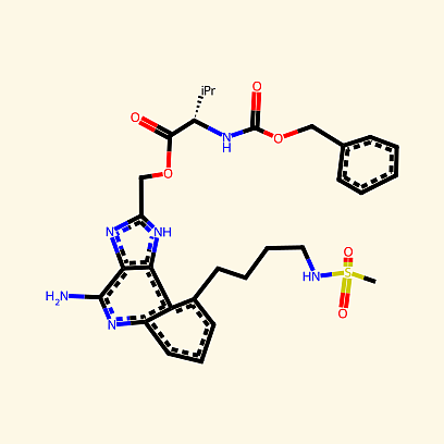 CC(C)[C@H](NC(=O)OCc1ccccc1)C(=O)OCc1nc2c(N)nc3cccc(CCCCNS(C)(=O)=O)c3c2[nH]1